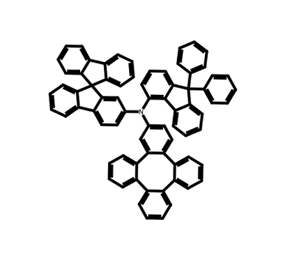 c1ccc(C2(c3ccccc3)c3ccccc3-c3c(N(c4ccc5c(c4)-c4ccccc4-c4ccccc4-c4ccccc4-5)c4ccc5c(c4)C4(c6ccccc6-c6ccccc64)c4ccccc4-5)cccc32)cc1